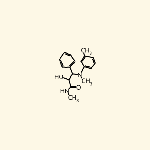 CNC(=O)C(O)C(c1ccccc1)N(C)c1cccc(C)c1